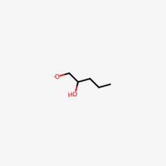 CCCC(O)C[O]